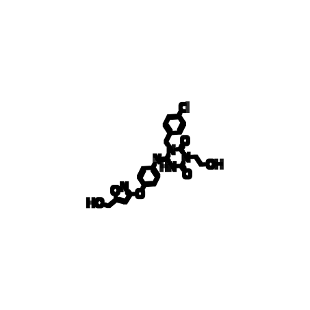 O=c1[nH]/c(=N\c2ccc(Oc3cc(CO)on3)cc2)n(Cc2ccc(Cl)cc2)c(=O)n1CCO